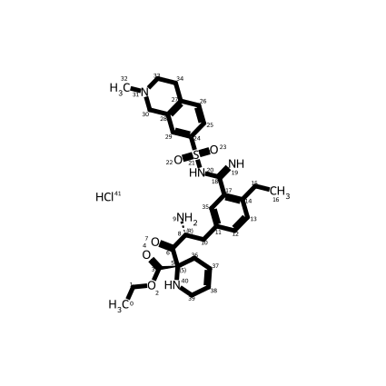 CCOC(=O)[C@@]1(C(=O)[C@H](N)Cc2ccc(CC)c(C(=N)NS(=O)(=O)c3ccc4c(c3)CN(C)CC4)c2)CC=CCN1.Cl